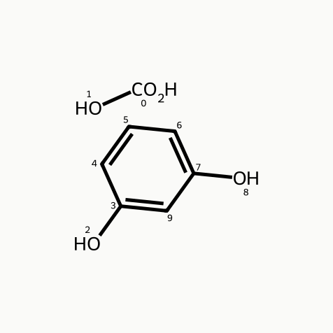 O=C(O)O.Oc1cccc(O)c1